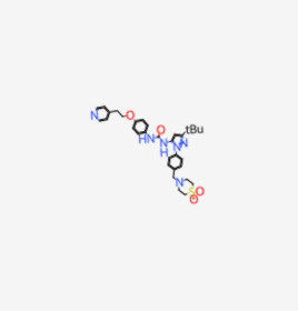 CC(C)(C)c1cc(NC(=O)Nc2ccc(OCCc3ccncc3)cc2)n(-c2ccc(CN3CCS(=O)(=O)CC3)cc2)n1